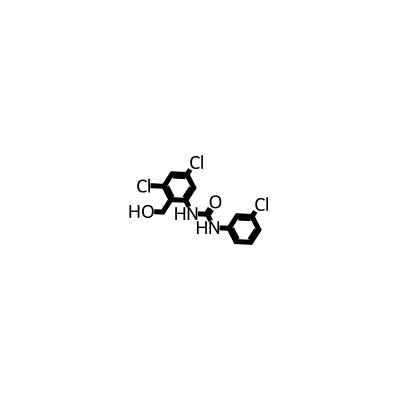 O=C(Nc1cccc(Cl)c1)Nc1cc(Cl)cc(Cl)c1CO